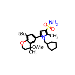 COC1(C)CCOc2c(C(C)(C)C)cc(-c3cc(S(N)(=O)=O)c(C)n3CC3CCCCC3)cc21